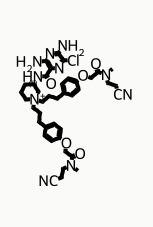 CN(CCC#N)C(=O)COc1ccc(CCC[N+]2(CCCc3ccc(OCC(=O)N(C)CCC#N)cc3)CCC[C@H](NC(=O)c3nc(Cl)c(N)nc3N)C2)cc1